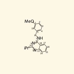 COc1cccc(CNc2nc(C(C)C)nc3ccccc23)c1